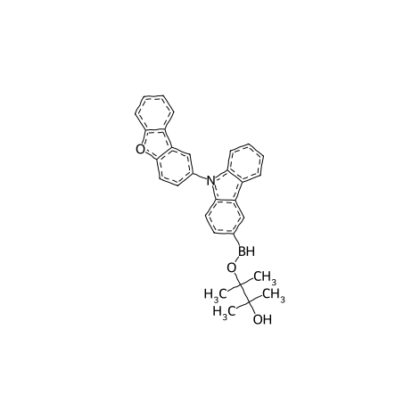 CC(C)(O)C(C)(C)OBc1ccc2c(c1)c1ccccc1n2-c1ccc2oc3ccccc3c2c1